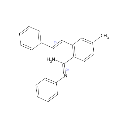 Cc1ccc(/C(N)=N/c2ccccc2)c(/C=C/c2ccccc2)c1